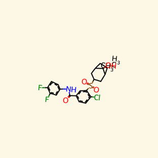 C[C@H]1CC2CC(S(=O)(=O)c3cc(C(=O)Nc4ccc(F)c(F)c4)ccc3Cl)CC1[C@]2(C)O